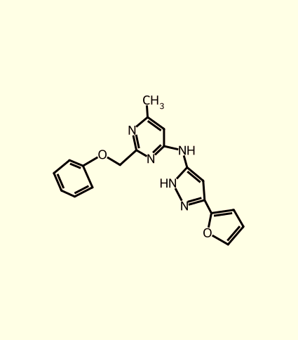 Cc1cc(Nc2cc(-c3ccco3)n[nH]2)nc(COc2ccccc2)n1